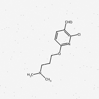 CN(C)CCCOc1ccc(C=O)c(Cl)n1